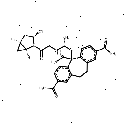 C[C@H](CC1(C(=N)N)c2ccc(C(N)=O)cc2CCc2cc(C(N)=O)ccc21)NCC(=O)N1[C@H](C#N)C[C@@H]2C[C@@H]21